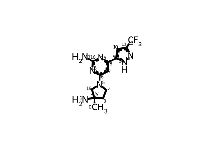 C[C@]1(N)CCN(c2cc(-c3cc(C(F)(F)F)n[nH]3)nc(N)n2)C1